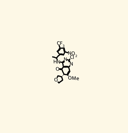 COC1=Cc2nc(Cl)nc(NC(C)c3cc([N+](=O)[O-])cc(C(F)(F)F)c3)c2C(=O)C1[C@@H]1CCOC1